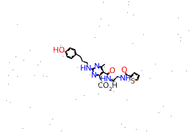 Cc1nc(NCCCc2ccc(O)cc2)nc(C)c1C(=O)N[C@@H](CNC(=O)c1cccs1)C(=O)O